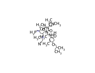 C=NC(=O)N(C(=O)N(CC(/C=C(\C)CC#N)C/C(C)=C\P)C(C)NC1=C(O)CC(OCC(C)CC)C(C)=C1)c1cc(C)n(C)c1